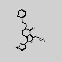 CSc1sc(-c2cc[nH]n2)c2c1C(=O)N(CCc1ccccn1)CC2